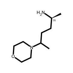 CC(CC[C@H](C)N)N1CCOCC1